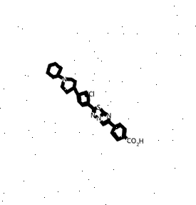 Cl.O=C(O)c1ccc(-c2cn3nc(-c4ccc(C5CCN(C6CCCCC6)CC5)cc4)sc3n2)cc1